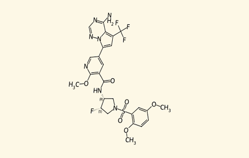 COc1ccc(OC)c(S(=O)(=O)N2C[C@H](F)[C@H](NC(=O)c3cc(-c4cc(C(F)(F)F)c5c(N)ncnn45)cnc3OC)C2)c1